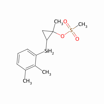 Cc1cccc([SiH2]C2CC2(C)OS(C)(=O)=O)c1C